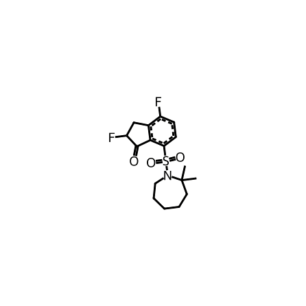 CC1(C)CCCCCN1S(=O)(=O)c1ccc(F)c2c1C(=O)C(F)C2